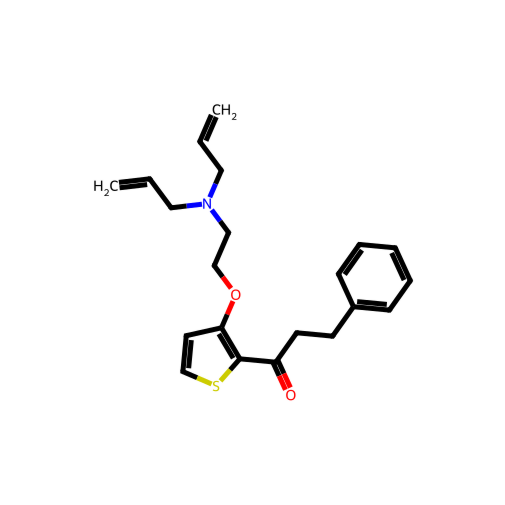 C=CCN(CC=C)CCOc1ccsc1C(=O)CCc1ccccc1